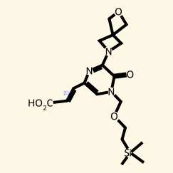 C[Si](C)(C)CCOCn1cc(/C=C/C(=O)O)nc(N2CC3(COC3)C2)c1=O